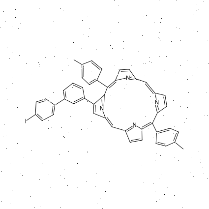 Cc1ccc(C2=C3C=CC(=N3)C=C3C=C(c4cccc(-c5ccc(I)cc5)c4)C(=N3)C(c3ccc(C)cc3)=C3C=CC(=N3)C=C3C=CC2=N3)cc1